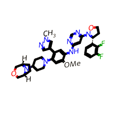 COc1cc(N2CCC(N3[C@@H]4CC[C@H]3COC4)CC2)c(-c2cnn(C)c2)cc1Nc1cc(N2OCC[C@@H]2c2cccc(F)c2F)ncn1